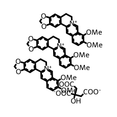 COc1ccc2cc3[n+](cc2c1OC)CCc1cc2c(cc1-3)OCO2.COc1ccc2cc3[n+](cc2c1OC)CCc1cc2c(cc1-3)OCO2.COc1ccc2cc3[n+](cc2c1OC)CCc1cc2c(cc1-3)OCO2.O=C([O-])CC(O)(CC(=O)[O-])C(=O)[O-]